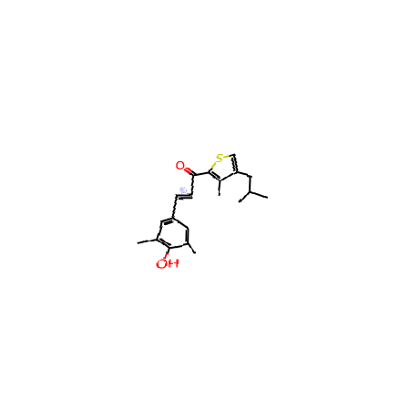 Cc1cc(/C=C/C(=O)c2scc(CC(C)C)c2C)cc(C)c1O